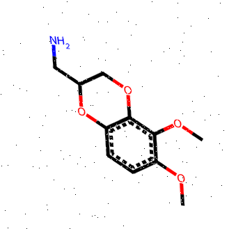 COc1ccc2c(c1OC)OCC(CN)O2